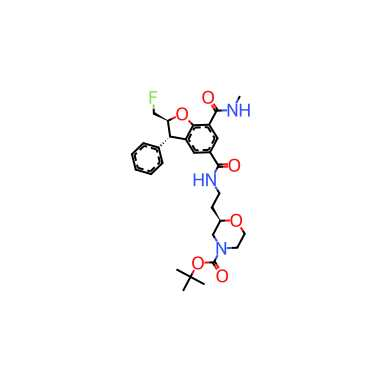 CNC(=O)c1cc(C(=O)NCC[C@@H]2CN(C(=O)OC(C)(C)C)CCO2)cc2c1O[C@H](CF)[C@H]2c1ccccc1